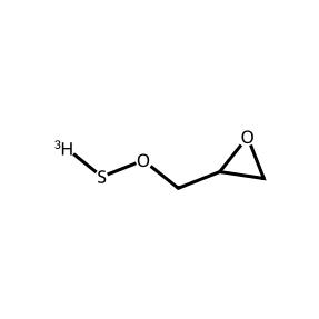 [3H]SOCC1CO1